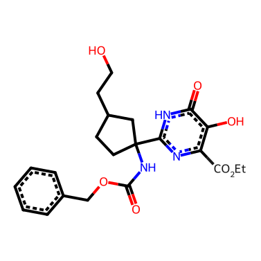 CCOC(=O)c1nc(C2(NC(=O)OCc3ccccc3)CCC(CCO)C2)[nH]c(=O)c1O